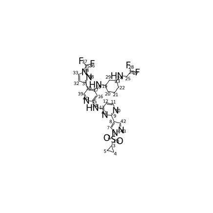 O=S(=O)(C1CC1)n1cc(-c2nccc(Nc3cc(NC4CCCC(NCC(F)F)C4)c(-c4ccn(C(F)F)n4)cn3)n2)cn1